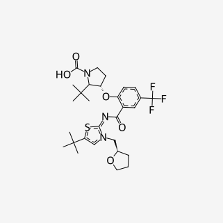 CC(C)(C)c1cn(C[C@H]2CCCO2)c(=NC(=O)c2cc(C(F)(F)F)ccc2O[C@H]2CCN(C(=O)O)C2C(C)(C)C)s1